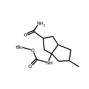 CC1CC2CC(C(N)=O)CC2(NC(=O)OC(C)(C)C)C1